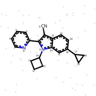 N#Cc1c(-c2ccccn2)n(C2CCC2)c2cc(C3CC3)ccc12